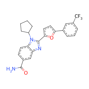 NC(=O)c1ccc2c(c1)nc(-c1ccc(-c3cccc(C(F)(F)F)c3)o1)n2C1CCCC1